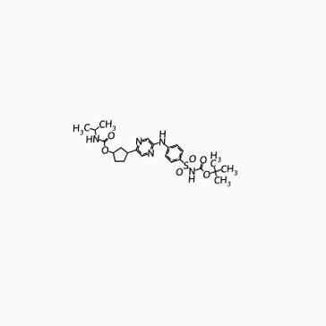 CC(C)NC(=O)OC1CCC(c2cnc(Nc3ccc(S(=O)(=O)NC(=O)OC(C)(C)C)cc3)cn2)C1